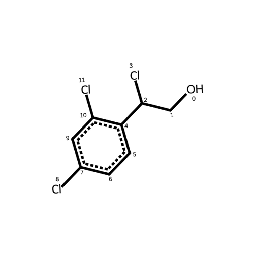 OCC(Cl)c1ccc(Cl)cc1Cl